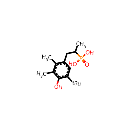 Cc1c(CC(C)P(=O)(O)O)cc(C(C)(C)C)c(O)c1C